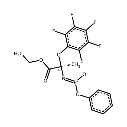 CCOC(=O)[C@](C)(N=[P+]([O-])Oc1ccccc1)Oc1c(F)c(F)c(F)c(F)c1F